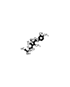 C#C[C@@H](NC(=O)C(=O)c1c(C)c(C(=O)Nc2ccc(C)c(C#N)c2)n(C)c1C)C(C)(C)C